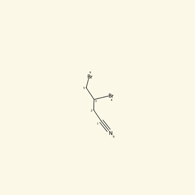 N#CCC(Br)CBr